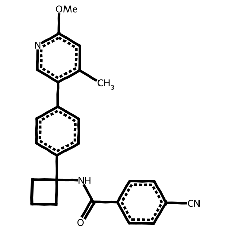 COc1cc(C)c(-c2ccc(C3(NC(=O)c4ccc(C#N)cc4)CCC3)cc2)cn1